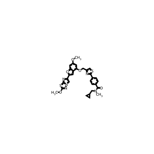 COc1cc(OCc2csc(-c3ccc(C(=O)N(C)CC4CC4)cc3)n2)c2cc(-c3cn4nc(OC)sc4n3)oc2c1